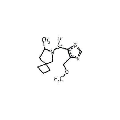 COCc1ncsc1[S+]([O-])N1CC2(CCC2)CC1C